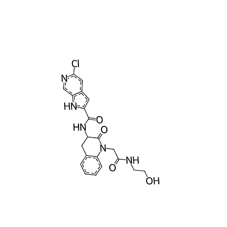 O=C(CN1C(=O)C(NC(=O)c2cc3cc(Cl)ncc3[nH]2)Cc2ccccc21)NCCO